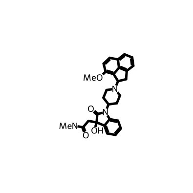 CNC(=O)CC1(O)C(=O)N(C2CCN(C3Cc4cccc5ccc(OC)c3c45)CC2)c2ccccc21